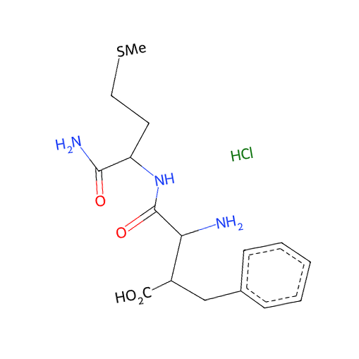 CSCCC(NC(=O)C(N)C(Cc1ccccc1)C(=O)O)C(N)=O.Cl